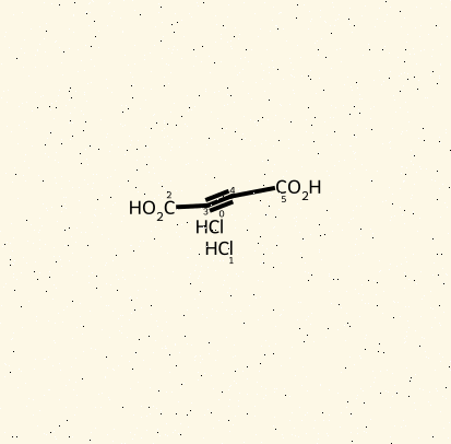 Cl.Cl.O=C(O)C#CC(=O)O